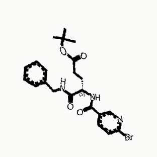 CC(C)(C)OC(=O)CC[C@H](NC(=O)c1ccc(Br)nc1)C(=O)NCc1ccccc1